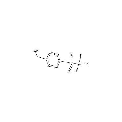 O=S(=O)(c1ccc(CO)cc1)C(F)(F)F